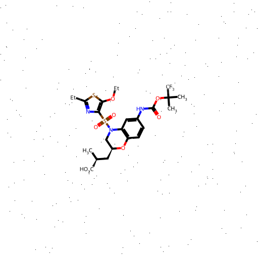 CCOc1sc(CC)nc1S(=O)(=O)N1C[C@H](C[C@H](C)C(=O)O)Oc2ccc(NC(=O)OC(C)(C)C(F)(F)F)cc21